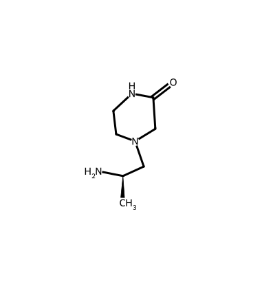 C[C@@H](N)CN1CCNC(=O)C1